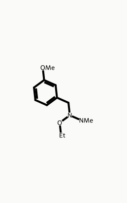 CCON(Cc1cccc(OC)c1)NC